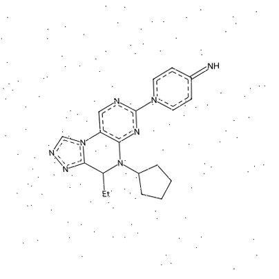 CCC1c2nncn2-c2cnc(-n3ccc(=N)cc3)nc2N1C1CCCC1